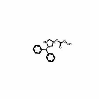 CCCOC(=O)O[C@@H]1CN[C@H](C(c2ccccc2)c2ccccc2)C1